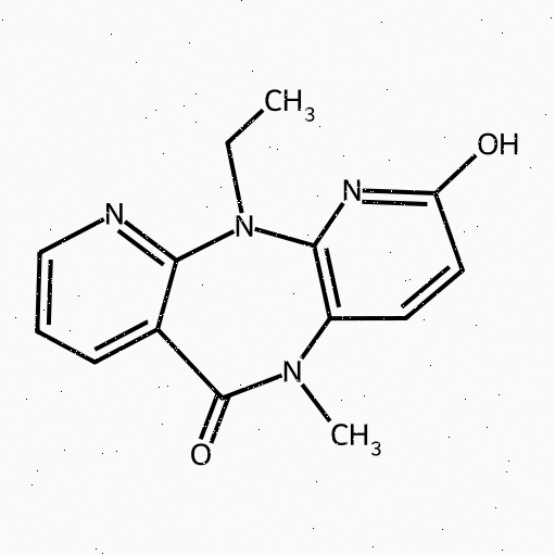 CCN1c2ncccc2C(=O)N(C)c2ccc(O)nc21